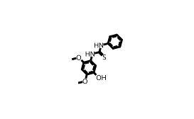 COc1cc(OC)c(NC(=S)Nc2ccccc2)cc1O